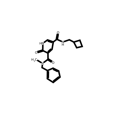 CN(Cc1ccccc1)C(=O)c1cc(C(=O)NCC2CCC2)c[nH]c1=O